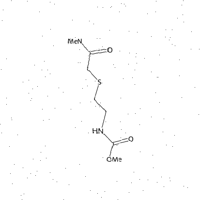 CNC(=O)CSCCNC(=O)OC